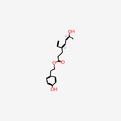 C=C/C(=C\C=C(/C)O)CCC(=O)OCCc1ccc(O)cc1